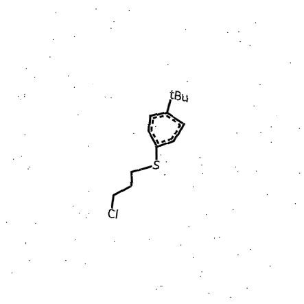 CC(C)(C)c1ccc(SCCCCl)cc1